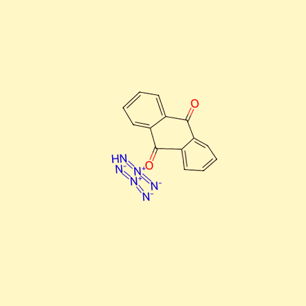 O=C1c2ccccc2C(=O)c2ccccc21.[N-]=[N+]=N.[N-]=[N+]=[N-]